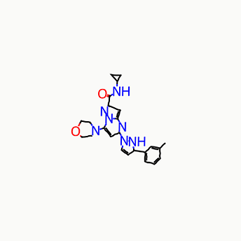 Cc1cccc(C2C=CN(c3cc(N4CCOCC4)n4nc(C(=O)NC5CC5)cc4n3)N2)c1